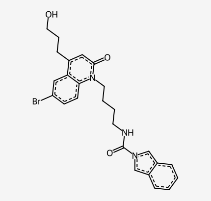 O=C(NCCCCn1c(=O)cc(CCCO)c2cc(Br)ccc21)n1cc2ccccc2c1